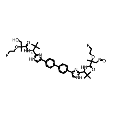 CC(CN=O)(OCCF)C(=O)NC(c1nc(-c2ccc(-c3ccc(-c4c[nH]c([C@@H](NC(=O)C(C)(CO)OCCF)C(C)(C)C)n4)cc3)cc2)c[nH]1)C(C)(C)C